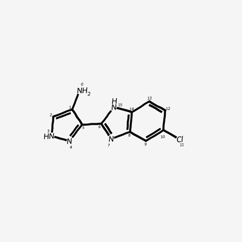 Nc1c[nH]nc1-c1nc2cc(Cl)ccc2[nH]1